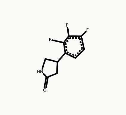 O=C1CC(c2ccc(F)c(F)c2F)CN1